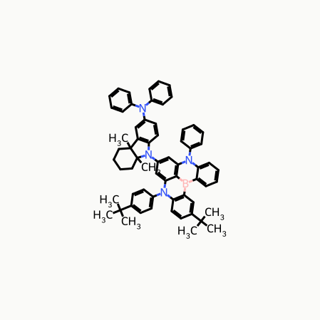 CC(C)(C)c1ccc(N2c3ccc(C(C)(C)C)cc3B3c4ccccc4N(c4ccccc4)c4cc(N5c6ccc(N(c7ccccc7)c7ccccc7)cc6C6(C)CCCCC56C)cc2c43)cc1